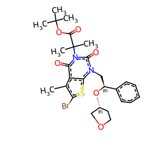 Cc1c(Br)sc2c1c(=O)n(C(C)(C)C(=O)OC(C)(C)C)c(=O)n2C[C@H](O[C@@H]1CCOC1)c1ccccc1